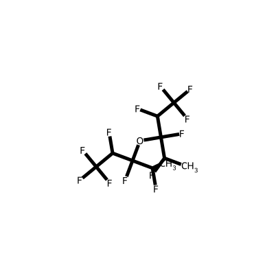 CC(F)C(F)(OC(F)(C(C)F)C(F)C(F)(F)F)C(F)C(F)(F)F